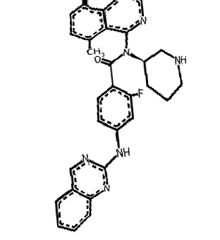 Cc1cccc2ccnc(N(C(=O)c3ccc(Nc4ncc5ccccc5n4)cc3F)[C@@H]3CCCNC3)c12